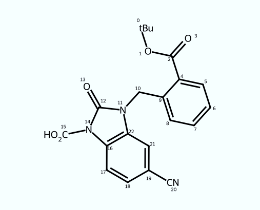 CC(C)(C)OC(=O)c1ccccc1Cn1c(=O)n(C(=O)O)c2ccc(C#N)cc21